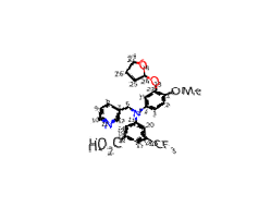 COc1ccc(N(Cc2cccnc2)c2cc(C(=O)O)cc(C(F)(F)F)c2)cc1OC1CCCO1